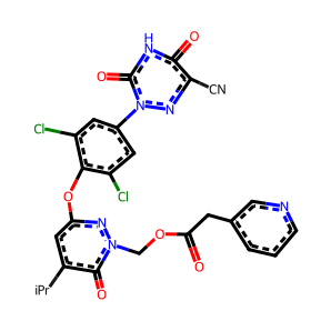 CC(C)c1cc(Oc2c(Cl)cc(-n3nc(C#N)c(=O)[nH]c3=O)cc2Cl)nn(COC(=O)Cc2cccnc2)c1=O